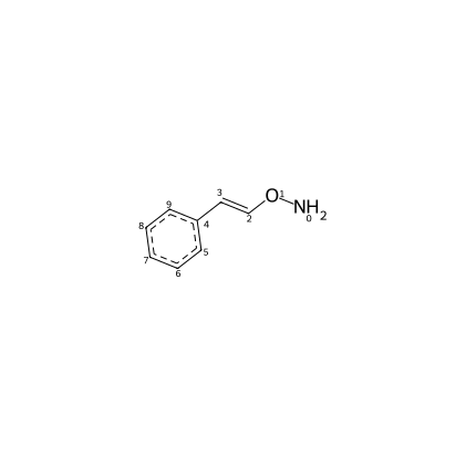 NOC=Cc1ccccc1